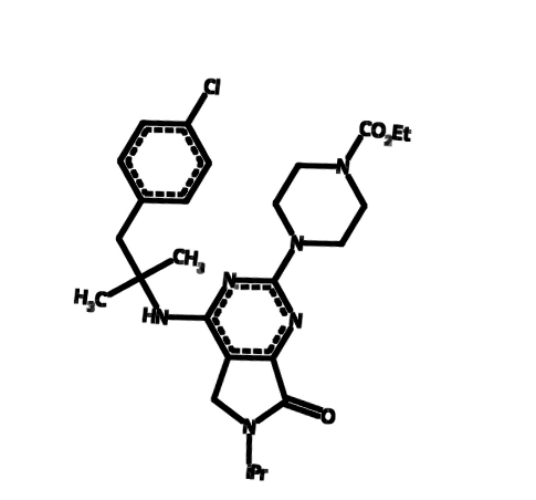 CCOC(=O)N1CCN(c2nc(NC(C)(C)Cc3ccc(Cl)cc3)c3c(n2)C(=O)N(C(C)C)C3)CC1